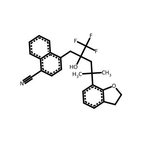 CC(C)(CC(O)(Cc1ccc(C#N)c2ccccc12)C(F)(F)F)c1cccc2c1OCC2